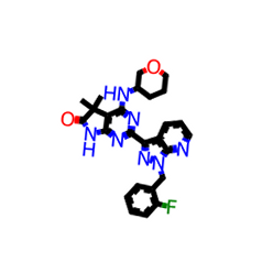 CC1(C)C(=O)Nc2nc(-c3nn(Cc4ccccc4F)c4ncccc34)nc(NC3CCCOC3)c21